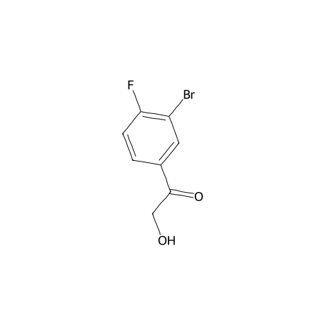 O=C(CO)c1ccc(F)c(Br)c1